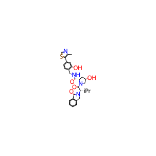 Cc1ncsc1-c1ccc(CNC(=O)[C@@H]2C[C@@H](O)CN2C(=O)[C@H](C(C)C)N2Cc3ccccc3C2=O)c(O)c1